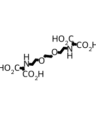 O=C(O)C(NCCOCCOCCNC(C(=O)O)C(=O)O)C(=O)O